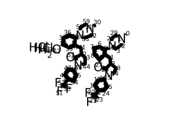 CN1CCN(c2ccccc2CC2CCN(c3ccc(C(F)(F)F)cc3)C2=O)CC1.CN1CCN(c2ccccc2CC2CCN(c3ccc(C(F)(F)F)cc3)C2=O)CC1.Cl.Cl.O